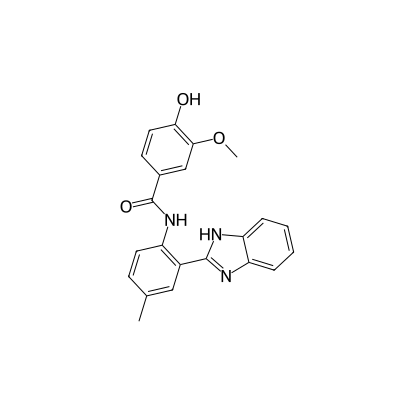 COc1cc(C(=O)Nc2ccc(C)cc2-c2nc3ccccc3[nH]2)ccc1O